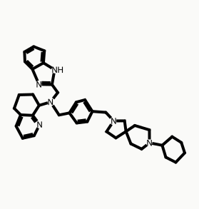 c1cnc2c(c1)CCCC2N(Cc1ccc(CN2CCC3(CCN(C4CCCCC4)CC3)C2)cc1)Cc1nc2ccccc2[nH]1